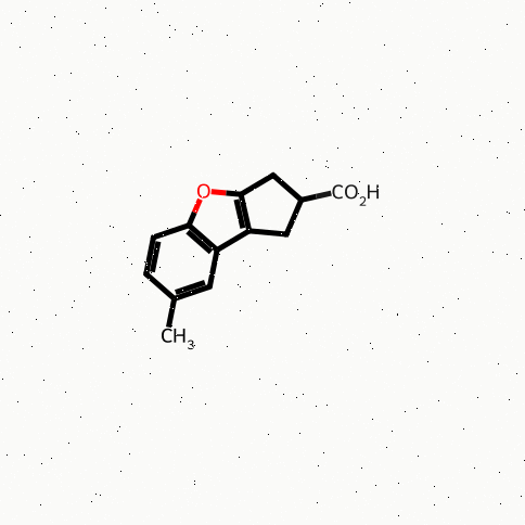 Cc1ccc2oc3c(c2c1)CC(C(=O)O)C3